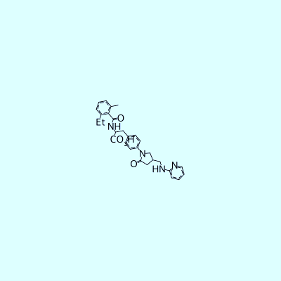 CCc1cccc(C)c1C(=O)NC(Cc1ccc(N2CC(CNc3ccccn3)CC2=O)cc1)C(=O)O